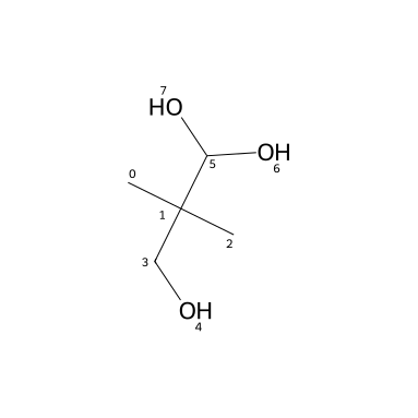 CC(C)(CO)C(O)O